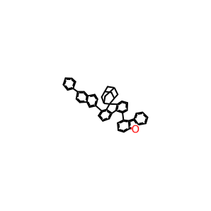 c1ccc(-c2ccc3cc(-c4cccc5c4C4(c6cccc(-c7cccc8oc9ccccc9c78)c6-5)C5CC6CC(C5)CC4C6)ccc3c2)cc1